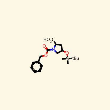 CC(C)(C)[Si](C)(C)OC1CC(C(=O)O)N(C(=O)OCc2ccccc2)C1